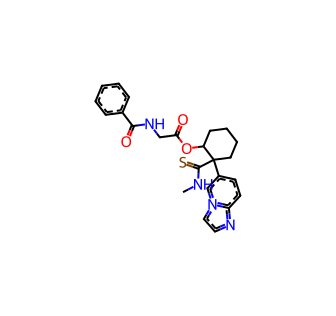 CNC(=S)C1(c2ccc3nccn3c2)CCCCC1OC(=O)CNC(=O)c1ccccc1